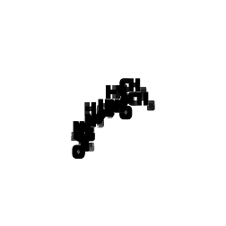 CN[C@@H](C)C(=O)NCCCNc1ncc(C=O)s1